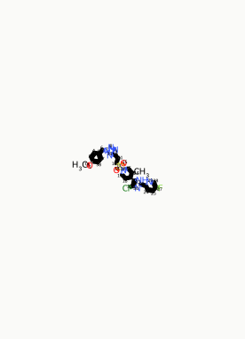 COc1ccc(Cn2nnc(CCS(=O)(=O)N3CC[C@@H](c4[nH]c(-c5ccc(F)cn5)nc4Cl)[C@@H](C)C3)n2)cc1